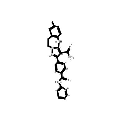 Cc1ccc2c(c1)CCn1nc(-c3ccc(C(=O)Nc4ccccn4)cc3)c(C(N)=O)c1N2